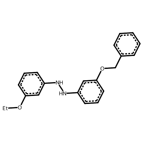 CCOc1cccc(NNc2cccc(OCc3ccccc3)c2)c1